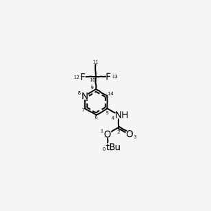 CC(C)(C)OC(=O)Nc1ccnc(C(C)(F)F)c1